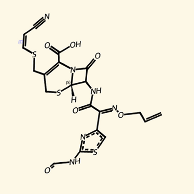 C=CCON=C(C(=O)NC1C(=O)N2C(C(=O)O)=C(CS/C=C\C#N)CS[C@@H]12)c1csc(NC=O)n1